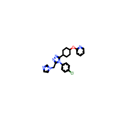 Clc1ccc(-n2c(Cn3ccnc3)nnc2C2CCC(Oc3ccccn3)CC2)cc1